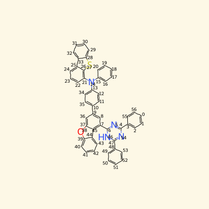 c1ccc(C2=NC(c3cc(-c4ccc(N(c5ccccc5)c5cccc6c5sc5ccccc56)cc4)cc4oc5ccccc5c34)NC(c3ccccc3)=N2)cc1